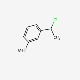 COc1cccc(C(C)Cl)c1